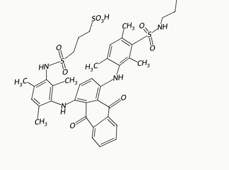 Cc1cc(C)c(NS(=O)(=O)CCCS(=O)(=O)O)c(C)c1Nc1ccc(Nc2c(C)cc(C)c(S(=O)(=O)NCCCS(=O)(=O)O)c2C)c2c1C(=O)c1ccccc1C2=O